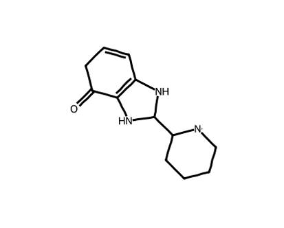 O=C1CC=CC2=C1NC(C1CCCC[N]1)N2